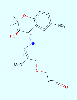 CO/C(=C/N[C@H]1c2cc([N+](=O)[O-])ccc2OC(C)(C)[C@@H]1O)COCC=C=O